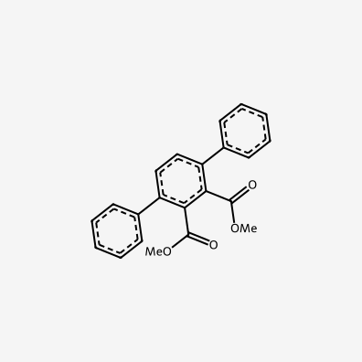 COC(=O)c1c(-c2ccccc2)ccc(-c2ccccc2)c1C(=O)OC